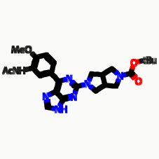 COc1ccc(-c2nc(N3CC4CN(C(=O)OC(C)(C)C)CC4C3)nc3[nH]cnc23)cc1NC(C)=O